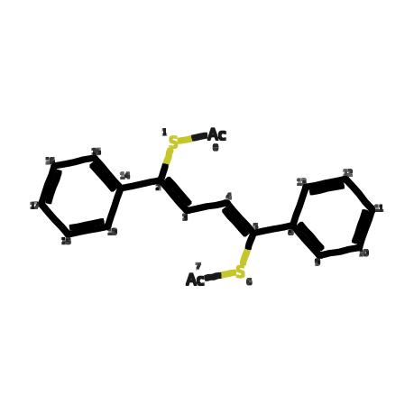 CC(=O)S/C(=C\C=C(/SC(C)=O)c1ccccc1)c1ccccc1